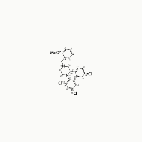 COc1ccccc1CN1CCN(c2ccc(Cl)cc2Cl)C(c2ccc(Cl)cc2)C1